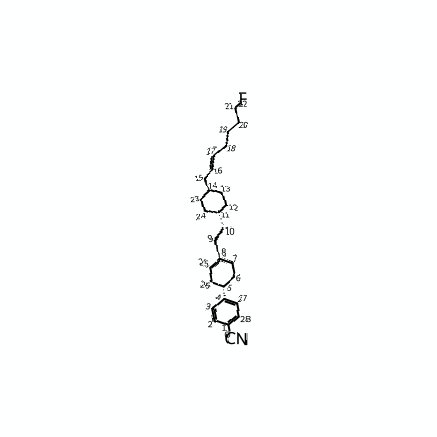 N#Cc1ccc([C@H]2CC[C@H](CC[C@H]3CC[C@H](CC=CCCCCF)CC3)CC2)cc1